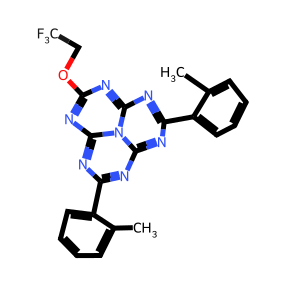 Cc1ccccc1C1=NC2=NC(OCC(F)(F)F)=NC3=NC(c4ccccc4C)=NC(=N1)N23